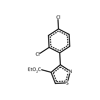 CCOC(=O)c1csnc1-c1ccc(Cl)cc1Cl